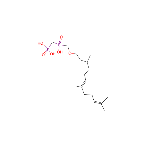 CC(C)=CCCC(C)=CCCC(C)CCOCP(=O)(O)CP(=O)(O)O